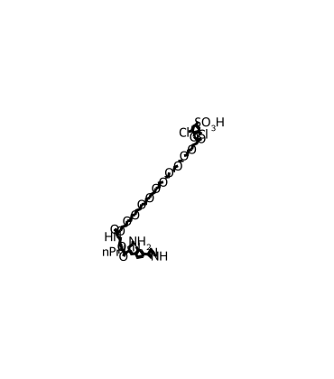 CCCN(OCCNC(=O)OCCOCCOCCOCCOCCOCCOCCOCCOCCOCCOCCC(=O)Oc1c(Cl)cc(S(=O)(=O)O)cc1Cl)C(=O)C1=Cc2ccc(-c3cn[nH]c3)cc2N=C(N)C1